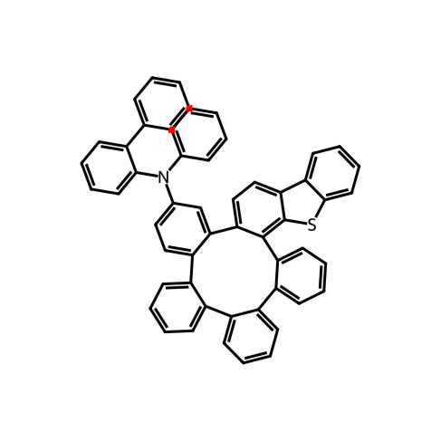 c1ccc(-c2ccccc2N(c2ccccc2)c2ccc3c4ccccc4c4ccccc4c4ccccc4c4c(ccc5c6ccccc6sc54)c3c2)cc1